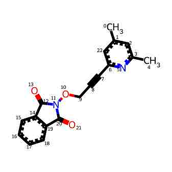 Cc1cc(C)nc(C#CCON2C(=O)c3ccccc3C2=O)c1